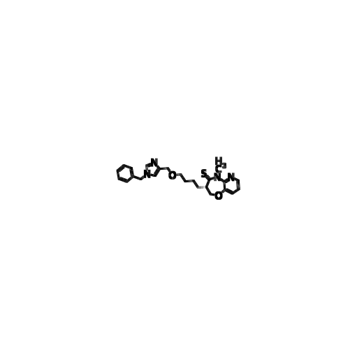 CN1C(=S)[C@@H](CCCCOCc2cn(Cc3ccccc3)cn2)COc2cccnc21